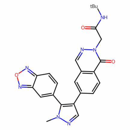 Cn1ncc(-c2ccc3c(=O)n(CC(=O)NC(C)(C)C)ncc3c2)c1-c1ccc2nonc2c1